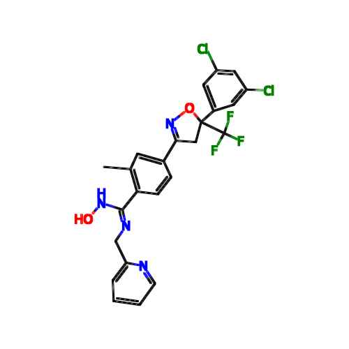 Cc1cc(C2=NOC(c3cc(Cl)cc(Cl)c3)(C(F)(F)F)C2)ccc1/C(=N/Cc1ccccn1)NO